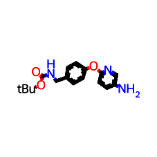 CC(C)(C)OC(=O)NCc1ccc(Oc2ccc(N)cn2)cc1